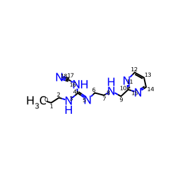 CCCNC(=NCCNCc1ncccn1)NC#N